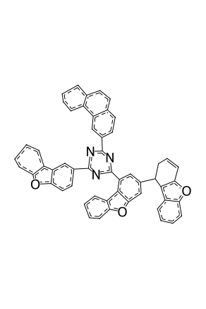 C1=Cc2oc3ccccc3c2C(c2cc(-c3nc(-c4ccc5ccc6ccccc6c5c4)nc(-c4ccc5oc6ccccc6c5c4)n3)c3c(c2)oc2ccccc23)C1